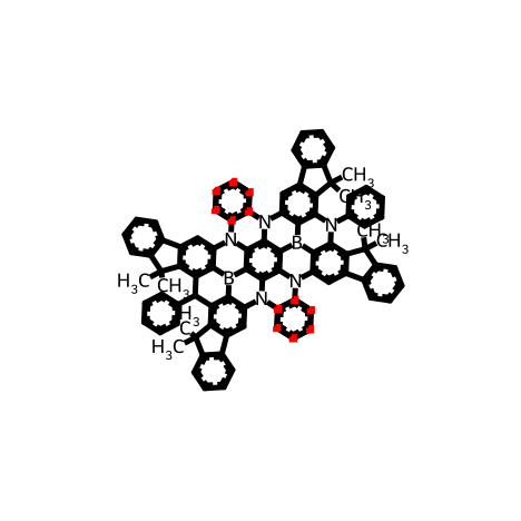 CC1(C)c2ccccc2-c2cc3c4c(c21)C(c1ccccc1)c1c2c(cc5c1C(C)(C)c1ccccc1-5)N(c1ccccc1)c1c(c(c5c6c1N(c1ccccc1)c1cc7c(c8c1B6c1c(cc6c(c1N8c1ccccc1)C(C)(C)c1ccccc1-6)N5c1ccccc1)C(C)(C)c1ccccc1-7)N3c1ccccc1)B42